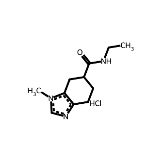 CCNC(=O)C1CCc2ncn(C)c2C1.Cl